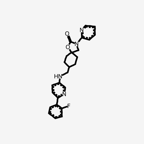 O=C1OC2(CCC(CNc3ccc(-c4ccccc4F)nc3)CC2)CN1c1ccccn1